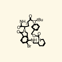 CC(C)(C)OC(=O)CCC(C(N)=O)N1Cc2c(ccc(Br)c2NCC2CC=CCN2C(=O)OCc2ccccc2)C1=O